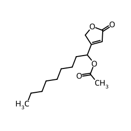 CCCCCCCCC(OC(C)=O)C1=CC(=O)OC1